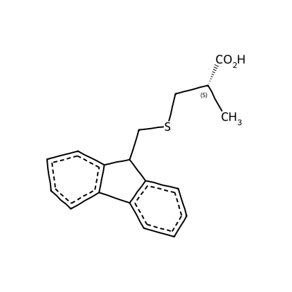 C[C@H](CSCC1c2ccccc2-c2ccccc21)C(=O)O